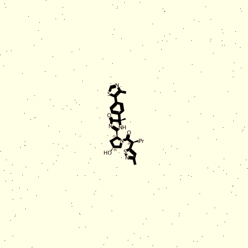 Cc1cc([C@@H](C(=O)N2C[C@H](O)C[C@H]2C2=NC(=O)[C@](C)(c3ccc(-c4scnc4C)cc3)N2)C(C)C)sn1